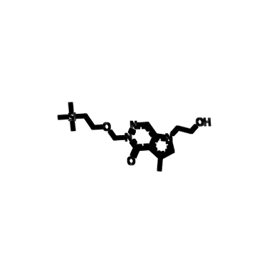 Cc1cn(CCO)c2cnn(COCC[Si](C)(C)C)c(=O)c12